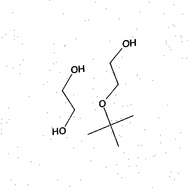 CC(C)(C)OCCO.OCCO